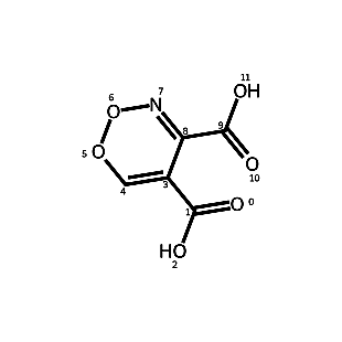 O=C(O)C1=COON=C1C(=O)O